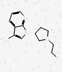 CCc1cn([C@@H]2CCN(CCF)C2)c2ncccc12